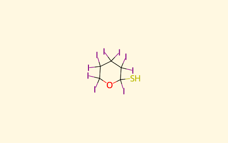 SC1(I)OC(I)(I)C(I)(I)C(I)(I)C1(I)I